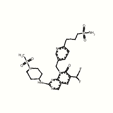 CS(=O)(=O)N1CCC(Nc2ncc3cc(C(F)F)c(=O)n(Cc4ccc(CCCS(N)(=O)=O)nc4)c3n2)CC1